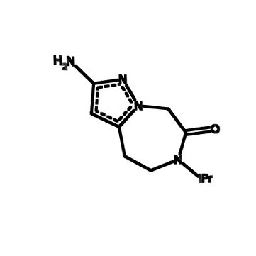 CC(C)N1CCc2cc(N)nn2CC1=O